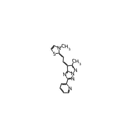 Cc1nn2nc(-c3ccccn3)nc2c1=CC=C1SC=CN1C